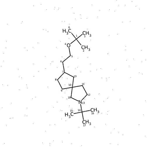 CC(C)(C)OCCC1CCC2(CCN(C(C)(C)C)C2)C1